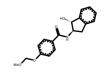 COCOc1ccc(C(=O)N[C@@H]2Cc3ccccc3[C@H]2O)cc1